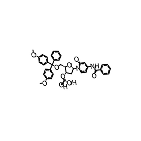 COc1ccc(C(OC[C@H]2O[C@@H](n3ccc(NC(=O)c4ccccc4)cc3=O)C[C@H]2O[PH](=O)O)(c2ccccc2)c2ccc(OC)cc2)cc1